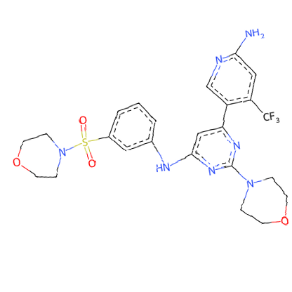 Nc1cc(C(F)(F)F)c(-c2cc(Nc3cccc(S(=O)(=O)N4CCOCC4)c3)nc(N3CCOCC3)n2)cn1